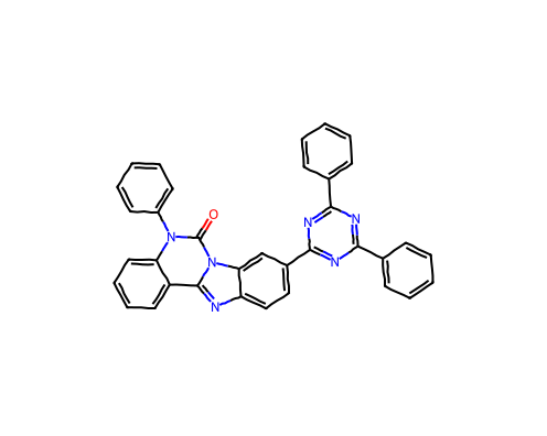 O=c1n(-c2ccccc2)c2ccccc2c2nc3ccc(-c4nc(-c5ccccc5)nc(-c5ccccc5)n4)cc3n12